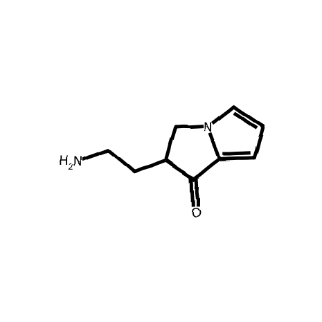 NCCC1Cn2cccc2C1=O